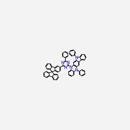 c1ccc(-c2nc(-c3ccc4c(c3)-c3ccccc3C43c4ccccc4-c4ccccc43)nc(N3c4ccccc4N(c4ccccc4)c4cc5c6ccccc6n(-c6ccccc6)c5cc43)n2)cc1